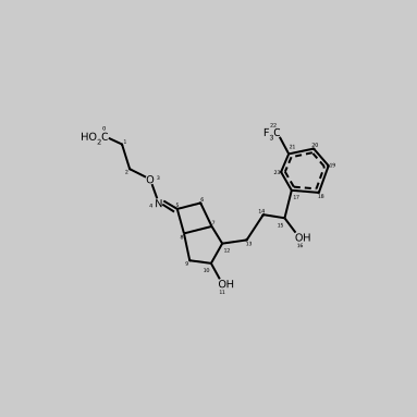 O=C(O)CCON=C1CC2C1CC(O)C2CCC(O)c1cccc(C(F)(F)F)c1